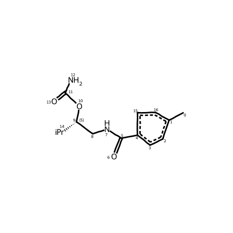 Cc1ccc(C(=O)NC[C@@H](OC(N)=O)C(C)C)cc1